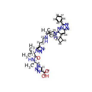 CC(C)[C@@H](C(=O)N[C@@H](C)Cn1cc(C(=O)O)nn1)n1cc(CCCNCC(C)(C)CNc2nn3c(-c4ccccc4)nnc3cc2C2CCC2)nn1